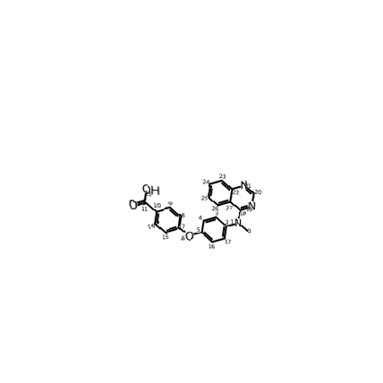 CN(c1ccc(Oc2ccc(C(=O)O)cc2)cc1)c1ncnc2ccccc12